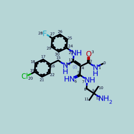 CNC(=O)/C(C(=N)NCC(C)(C)N)=C(/NCc1ccc(Cl)cc1)Nc1ccc(F)cc1